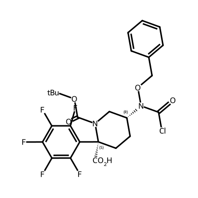 CC(C)(C)OC(=O)N1C[C@H](N(OCc2ccccc2)C(=O)Cl)CC[C@@]1(C(=O)O)c1c(F)c(F)c(F)c(F)c1F